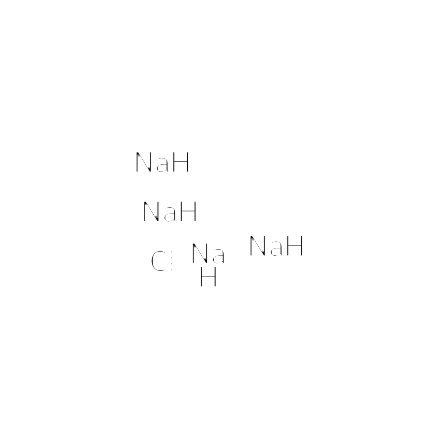 [C].[NaH].[NaH].[NaH].[NaH]